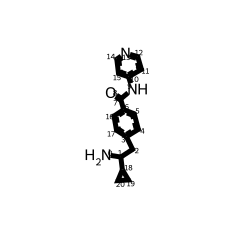 NC(Cc1ccc(C(=O)Nc2ccncc2)cc1)C1CC1